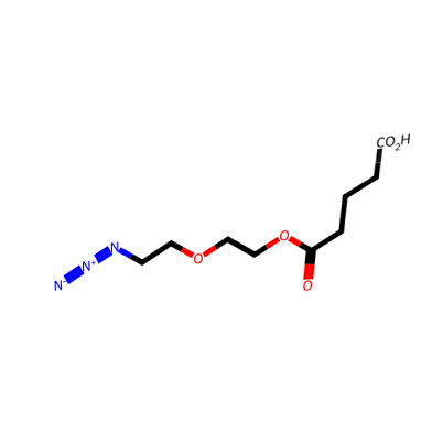 [N-]=[N+]=NCCOCCOC(=O)CCCC(=O)O